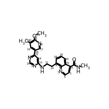 CNC(=O)c1ccnc2c(CCNc3cc(-c4cnc(OC)c(C)c4)ncn3)cccc12